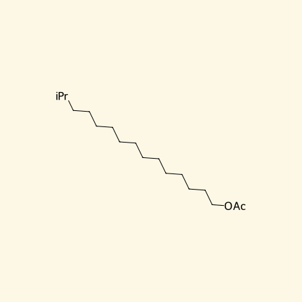 CC(=O)OCCCCCCCCCCCCCC(C)C